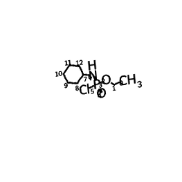 CCOP(=O)(Cl)NC1CCCCC1